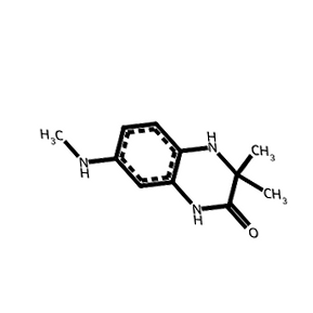 CNc1ccc2c(c1)NC(=O)C(C)(C)N2